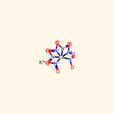 O=[N+]([O-])[Co]([N+](=O)[O-])([N+](=O)[O-])([N+](=O)[O-])([N+](=O)[O-])[N+](=O)[O-].[K+3]